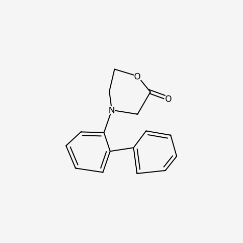 O=C1CN(c2ccccc2-c2ccccc2)CCO1